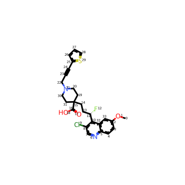 COc1ccc2ncc(Cl)c([C@@H](F)CCC3(C(=O)O)CCN(CC#Cc4cccs4)CC3)c2c1